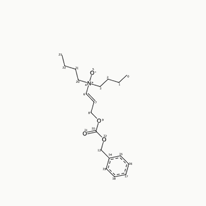 CCCC[N+]([O-])(/C=C/COC(=O)OCc1ccccc1)CCCC